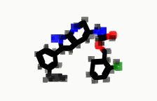 CC(=O)Nc1cccc(-c2cc3cc(NC(=O)OCc4ccccc4Cl)cnc3[nH]2)c1